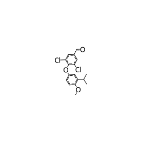 COc1ccc(Oc2c(Cl)cc(C=O)cc2Cl)cc1C(C)C